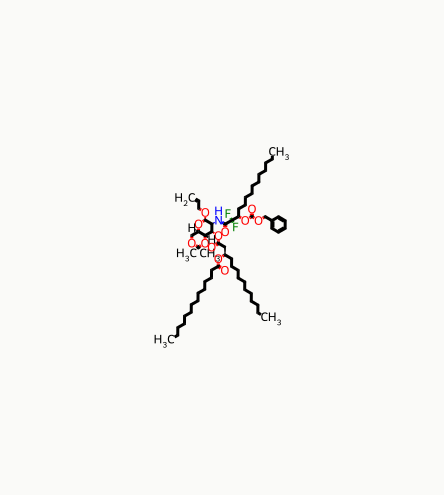 C=CCO[C@@H]1O[C@@H]2COC(C)(C)O[C@H]2[C@H](OC(=O)C[C@@H](CCCCCCCCCCC)OC(=O)CCCCCCCCCCCCC)[C@H]1NC(=O)C(F)(F)C(CCCCCCCCCCC)OC(=O)OCc1ccccc1